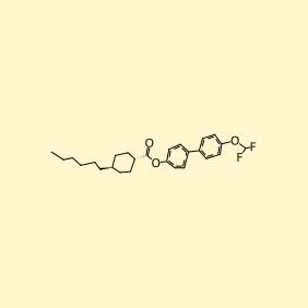 CCCCCC[C@H]1CC[C@H](C(=O)Oc2ccc(-c3ccc(OC(F)F)cc3)cc2)CC1